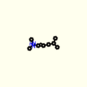 C=N/C(=N\C(=N/Cc1ccccc1)c1ccc2c(c1)Cc1cc(-c3ccc(-c4cc(-c5ccccc5)cc(-c5ccccc5)c4)cc3)ccc1-2)c1ccccc1